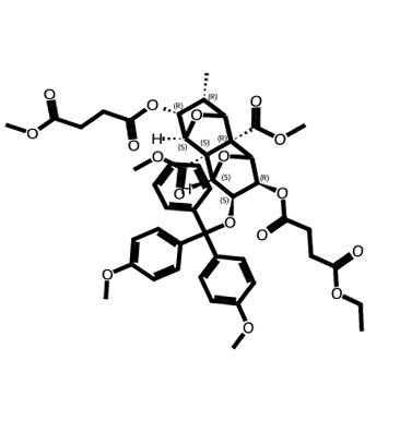 CCOC(=O)CCC(=O)O[C@@H]1C2O[C@H]([C@@H]1OC(c1ccccc1)(c1ccc(OC)cc1)c1ccc(OC)cc1)[C@@]1(C(=O)OC)[C@@H]3OC([C@@H](C)[C@H]3OC(=O)CCC(=O)OC)[C@@]21C(=O)OC